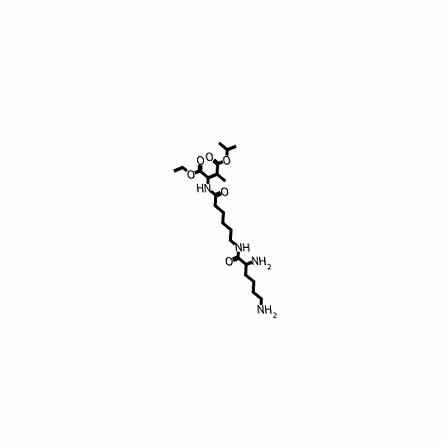 CCOC(=O)C(NC(=O)CCCCCNC(=O)C(N)CCCCN)C(C)C(=O)OC(C)C